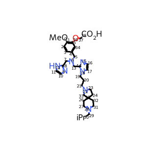 COc1ccc(CN(Cc2ncc[nH]2)Cc2nccn2CCCN2CCC3(CCN(CC(C)C)CC3)C2)cc1OCC(=O)O